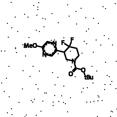 COc1cnc(C2CN(C(=O)OC(C)(C)C)CCC2(F)F)cn1